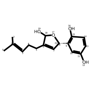 CC(C)=CCCC1=C[C@@H](c2cc(O)ccc2O)OC1O